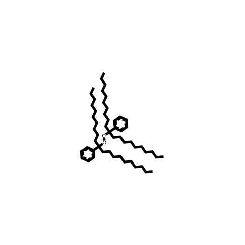 CCCCCCCCCCC(CCCCCCCCCC)(OOC(CCCCCCCCCC)(CCCCCCCCCC)c1ccccc1)c1ccccc1